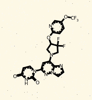 O=c1ccn(-c2cc(N3CC(Oc4ccc(OC(F)(F)F)cn4)C(F)(F)C3)c3nccn3n2)c(=O)[nH]1